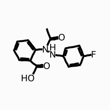 CC(=O)N(Nc1ccc(F)cc1)c1ccccc1C(=O)O